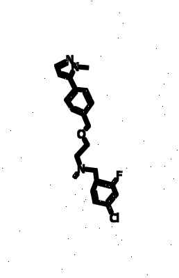 CN(CCOCc1ccc(-c2ccnn2C)cc1)Cc1ccc(Cl)cc1F